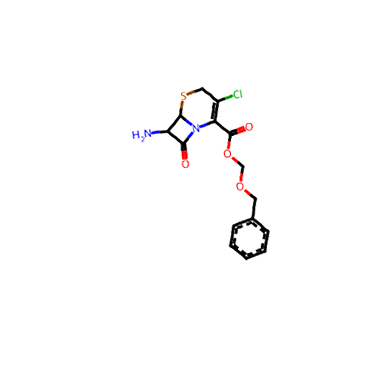 NC1C(=O)N2C(C(=O)OCOCc3ccccc3)=C(Cl)CSC12